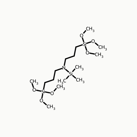 CO[Si](CCCN(CCC[Si](OC)(OC)OC)[Si](C)(C)C)(OC)OC